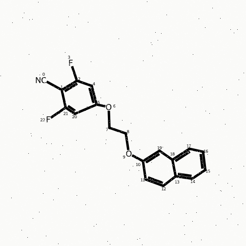 N#Cc1c(F)cc(OCCOc2ccc3ccccc3c2)cc1F